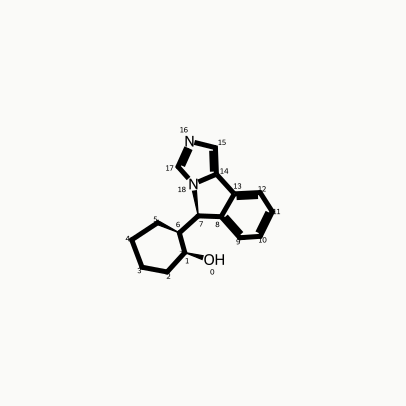 O[C@H]1CCCC[C@H]1[C@@H]1c2ccccc2-c2cncn21